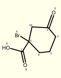 O=C1CCCC(Br)(C(=O)O)C1